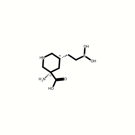 N[C@]1(C(=O)O)CNC[C@H](CCB(O)O)C1